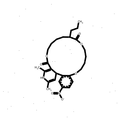 CCCC1CCCCOC(=O)C2=C(C)NC(C)=CC2c2cc([N+](=O)[O-])ccc2OCCCCOC1=O